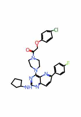 O=C(COc1ccc(Cl)cc1)N1CCN(c2nc(NC3CCCC3)nc3ccc(-c4ccc(F)cc4)nc23)CC1